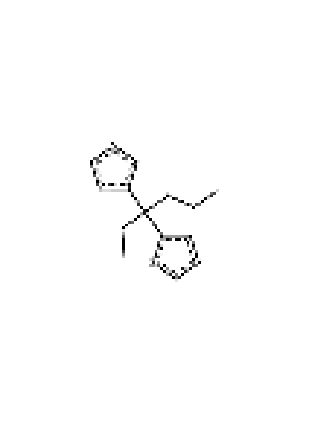 CC[CH]C(CC)(c1ccsc1)c1cccs1